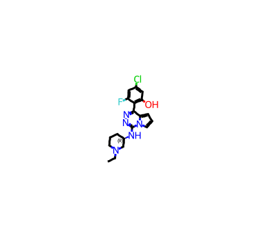 CCN1CCC[C@@H](Nc2nnc(-c3c(O)cc(Cl)cc3F)c3cccn23)C1